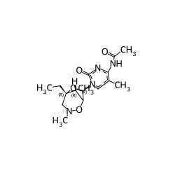 CC[C@@]12CN(C)OC([C@H](n3cc(C)c(NC(C)=O)nc3=O)O1)[C@H]2C